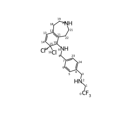 FC(F)(F)CNCc1ccc(CNC2C3=C(C=CC2(Cl)Cl)CCNCC3)cc1